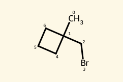 CC1(CBr)CCC1